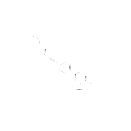 CC(N)(C(F)F)[C@H](NC(=O)c1ccc(C#C/C=C/NN=N)cc1)C(=O)NO